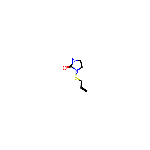 C=CCSN1CC[N]C1=O